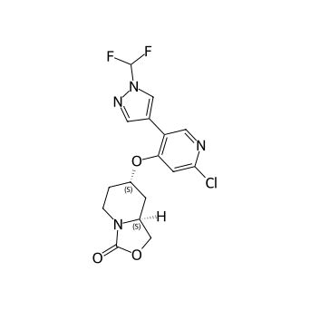 O=C1OC[C@@H]2C[C@@H](Oc3cc(Cl)ncc3-c3cnn(C(F)F)c3)CCN12